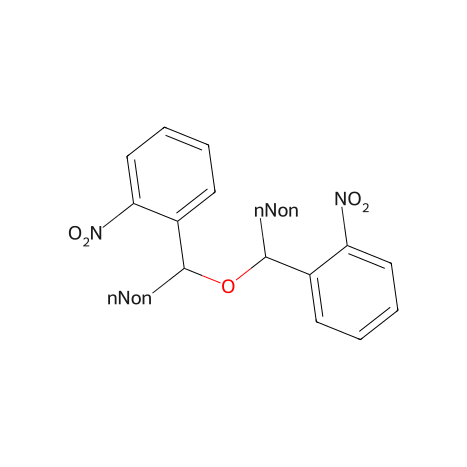 CCCCCCCCCC(OC(CCCCCCCCC)c1ccccc1[N+](=O)[O-])c1ccccc1[N+](=O)[O-]